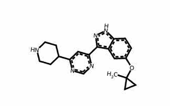 CC1(Oc2ccc3[nH]nc(-c4cc(C5CCNCC5)ncn4)c3c2)CC1